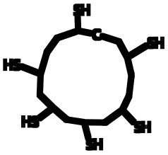 SC1CCC(S)CCC(S)CC(S)CC(S)CC(S)CC1